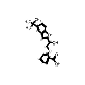 CC(C)(C)c1ccc2oc(C(O)COc3ccccc3C(=O)O)cc2c1